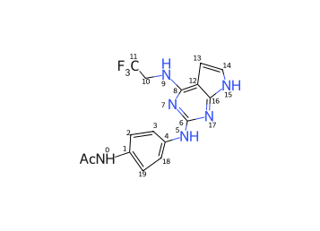 CC(=O)Nc1ccc(Nc2nc(NCC(F)(F)F)c3cc[nH]c3n2)cc1